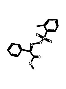 COC(=O)C(=NOS(=O)(=O)c1ccccc1C)c1ccccc1